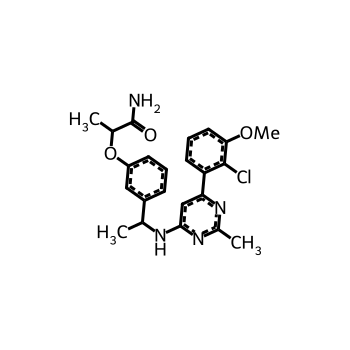 COc1cccc(-c2cc(NC(C)c3cccc(OC(C)C(N)=O)c3)nc(C)n2)c1Cl